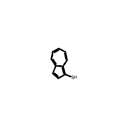 Sc1ccc2cccccc1-2